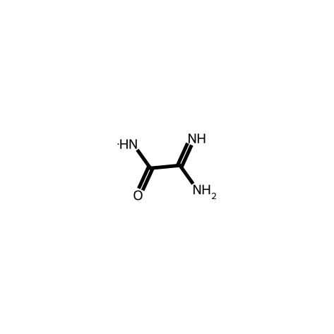 [NH]C(=O)C(=N)N